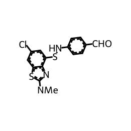 CNc1nc2c(SNc3ccc(C=O)cc3)cc(Cl)cc2s1